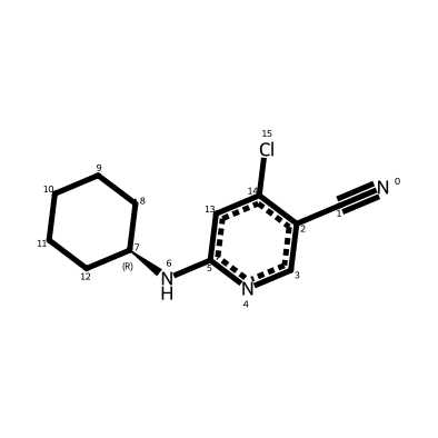 N#Cc1cnc(N[C@@H]2[CH]CCCC2)cc1Cl